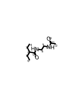 CCC(CC)C(=O)NCCNC(C)=O